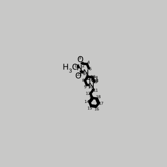 CN1C(=O)CCN(C2CCN(CCc3ccccc3)CC2)C1=O.Cl